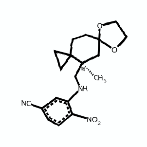 C[C@@]1(CNc2cc(C#N)ccc2[N+](=O)[O-])CC2(CCC13CC3)OCCO2